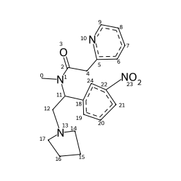 CN(C(=O)Cc1ccccn1)C(CN1CCCC1)c1cccc([N+](=O)[O-])c1